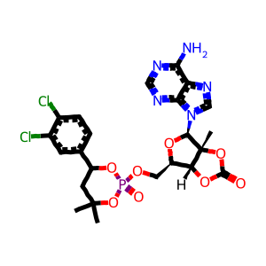 CC1(C)CC(c2ccc(Cl)c(Cl)c2)OP(=O)(OC[C@H]2O[C@@H](n3cnc4c(N)ncnc43)[C@]3(C)OC(=O)O[C@H]23)O1